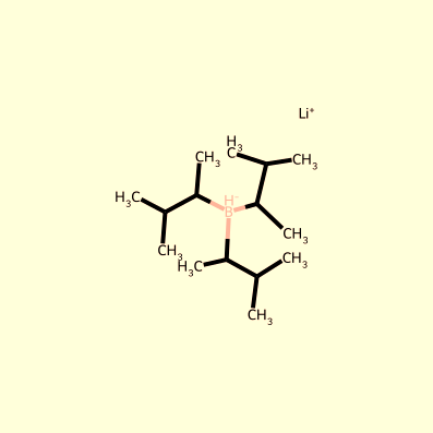 CC(C)C(C)[BH-](C(C)C(C)C)C(C)C(C)C.[Li+]